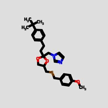 COc1ccc(CSCC2COC(CCc3ccc(C(C)(C)C)cc3)(Cn3ccnc3)O2)cc1